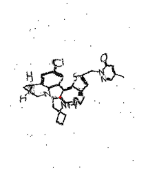 Cc1cnn(Cc2cc3nccc(-c4cc(Cl)cc5c4N([C@@H]4CNC6(CCC6)C4)C[C@H]4C[C@@H]54)c3s2)c(=O)c1